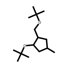 CC1CC(COC(C)(C)C)C(OC(C)(C)C)C1